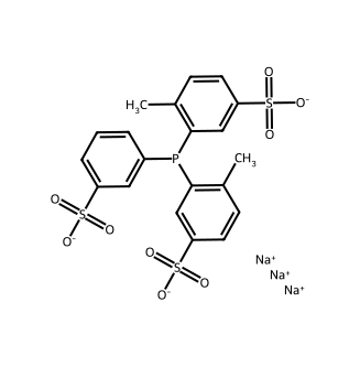 Cc1ccc(S(=O)(=O)[O-])cc1P(c1cccc(S(=O)(=O)[O-])c1)c1cc(S(=O)(=O)[O-])ccc1C.[Na+].[Na+].[Na+]